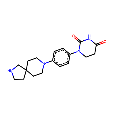 O=C1CCN(c2ccc(N3CCC4(CCNC4)CC3)cc2)C(=O)N1